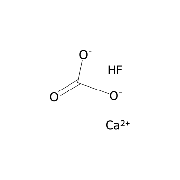 F.O=C([O-])[O-].[Ca+2]